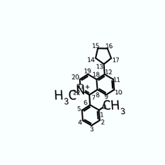 Cc1ccccc1-c1c2cccc(C3CCCC3)c2cc[n+]1C